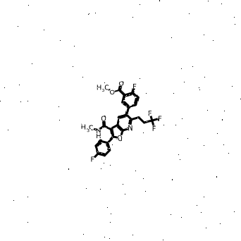 CNC(=O)c1c(-c2ccc(F)cc2)oc2nc(CCC(F)(F)F)c(-c3ccc(F)c(C(=O)OC)c3)cc12